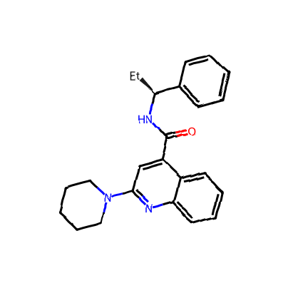 CC[C@H](NC(=O)c1cc(N2CCCCC2)nc2ccccc12)c1ccccc1